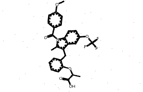 COc1ccc(C(=O)n2c(C)c(Cc3ccccc3OC(C)C(=O)O)c3cc(OC(F)(F)F)ccc32)cc1